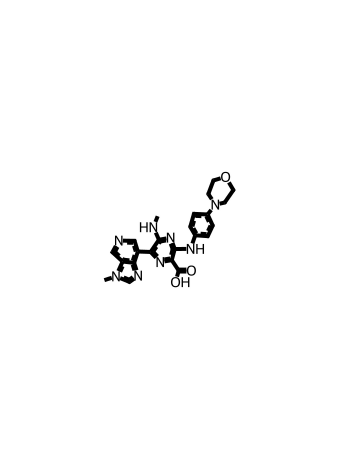 CNc1nc(Nc2ccc(N3CCOCC3)cc2)c(C(=O)O)nc1-c1cncc2c1ncn2C